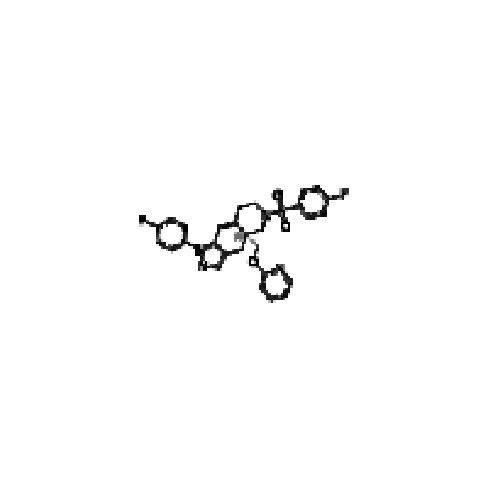 O=S(=O)(c1ccc(F)cc1)N1CCC2=Cc3c(cnn3-c3ccc(F)cc3)C[C@]2(COc2ccccn2)C1